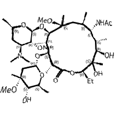 CC[C@H]1OC(=O)[C@H](C)[C@@H](O[C@H]2C[C@@](C)(OC)[C@@H](O)[C@H](C)O2)[C@H](C)[C@@H](O[C@@H]2O[C@H](C)C[C@H](N(C)C)[C@H]2OC)[C@@](C)(OC)C[C@@H](C)[C@H](NC(C)=O)[C@H](C)[C@@H](O)[C@]1(C)O